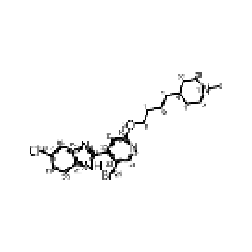 CN1CCC(CCCCOc2cc(-c3nc4cc(Cl)ccc4[nH]3)c(Br)cn2)CC1